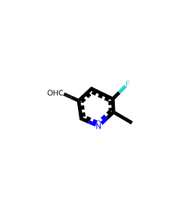 Cc1ncc(C=O)cc1F